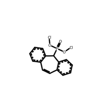 O=P(OCl)(OCl)C1c2ccccc2C=Cc2ccccc21